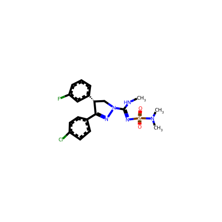 CN/C(=N\S(=O)(=O)N(C)C)N1C[C@@H](c2cccc(F)c2)C(c2ccc(Cl)cc2)=N1